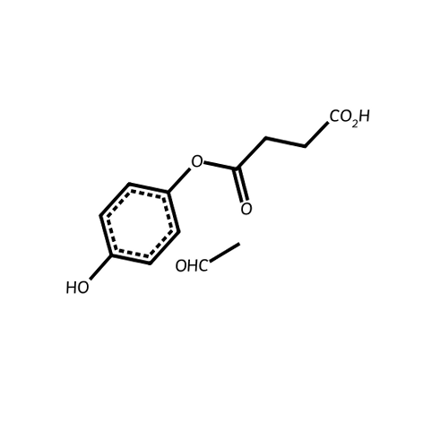 CC=O.O=C(O)CCC(=O)Oc1ccc(O)cc1